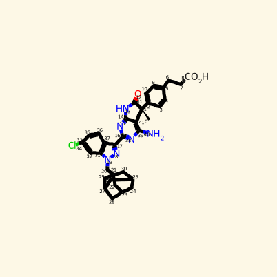 C[C@]1(c2ccc(CCC(=O)O)cc2)C(=O)Nc2nc(-c3nn(CC45CC6CC(CC(C6)C4)C5)c4cc(Cl)ccc34)nc(N)c21